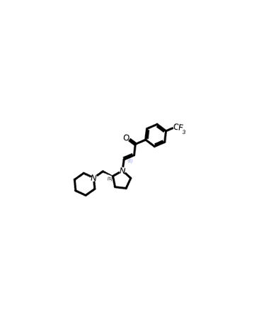 O=C(/C=C/N1CCC[C@H]1CN1CCCCC1)c1ccc(C(F)(F)F)cc1